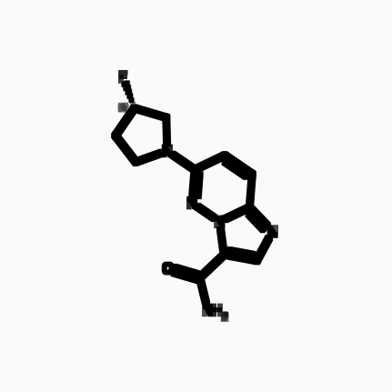 NC(=O)c1cnc2ccc(N3CC[C@H](F)C3)nn12